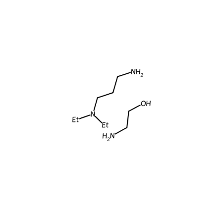 CCN(CC)CCCN.NCCO